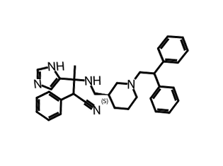 CC(NC[C@@H]1CCCN(CC(c2ccccc2)c2ccccc2)C1)(c1cnc[nH]1)C(C#N)c1ccccc1